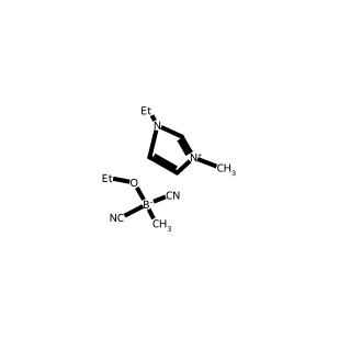 CCO[B-](C)(C#N)C#N.CCn1cc[n+](C)c1